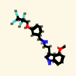 COc1cccc2[nH]cc(CCNCc3cccc(OCC(F)(F)C(F)F)c3)c12